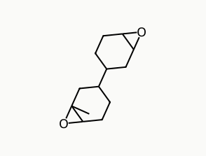 CC12CC(C3CCC4OC4C3)CCC1O2